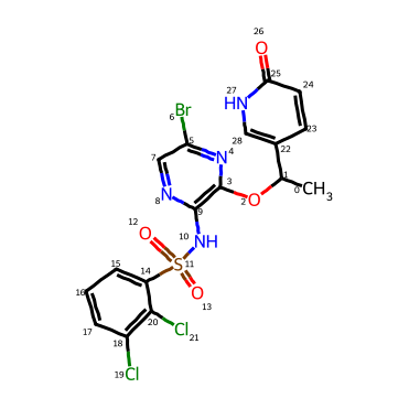 CC(Oc1nc(Br)cnc1NS(=O)(=O)c1cccc(Cl)c1Cl)c1ccc(=O)[nH]c1